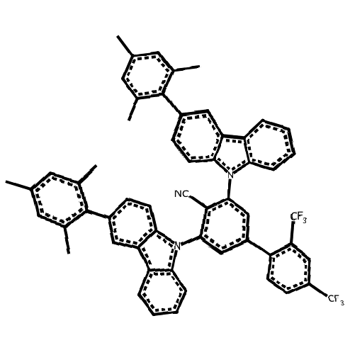 Cc1cc(C)c(-c2ccc3c(c2)c2ccccc2n3-c2cc(-c3ccc(C(F)(F)F)cc3C(F)(F)F)cc(-n3c4ccccc4c4cc(-c5c(C)cc(C)cc5C)ccc43)c2C#N)c(C)c1